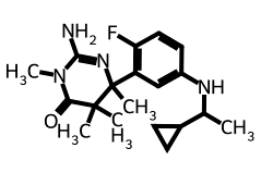 CC(Nc1ccc(F)c(C2(C)N=C(N)N(C)C(=O)C2(C)C)c1)C1CC1